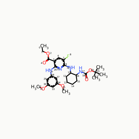 CCOC(=O)c1cc(F)c(NC2CCCCC2NC(=O)OC(C)(C)C)nc1Nc1cc(OC)cc(OC)c1